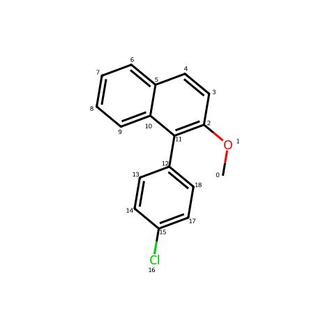 COc1ccc2ccccc2c1-c1ccc(Cl)cc1